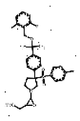 COCC1OC1N1CCC(c2ccc(C(OCc3c(F)cccc3F)(C(F)(F)F)C(F)(F)F)cc2)(S(=O)(=O)c2ccc(F)cc2)C1